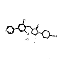 Cl.O=C1C(Cc2c(Cl)cc(-c3ccncc3)cc2Cl)CCN1C1CCC(O)CC1